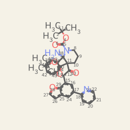 CC(C)(C)OC(=O)N1CCCC(C(=O)Cc2cc(-c3ccccn3)cc3ccoc23)(C(=O)OC(C)(C)C)C1(N)c1ccccc1